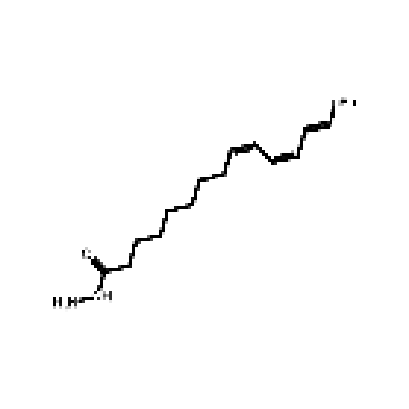 CCCC/C=C/C=C\C=C/CCCCCCCC(=O)NN